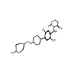 NC1CCN(CCN2CCN(c3cc(Cl)c(NN4C(=O)CCCC4=O)cc3F)CC2)CC1